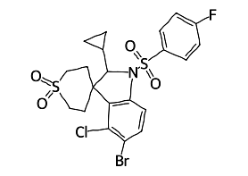 O=S1(=O)CCC2(CC1)c1c(ccc(Br)c1Cl)N(S(=O)(=O)c1ccc(F)cc1)C2C1CC1